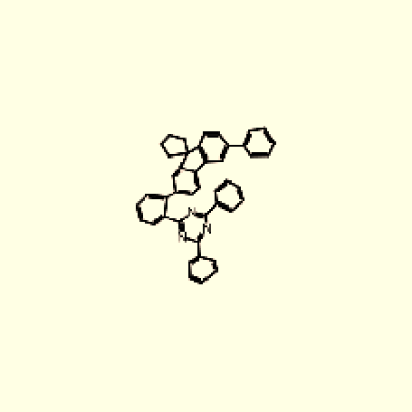 c1ccc(-c2ccc3c(c2)-c2ccc(-c4ccccc4-c4nc(-c5ccccc5)nc(-c5ccccc5)n4)cc2C32CCCC2)cc1